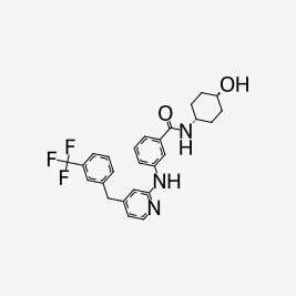 O=C(N[C@H]1CC[C@H](O)CC1)c1cccc(Nc2cc(Cc3cccc(C(F)(F)F)c3)ccn2)c1